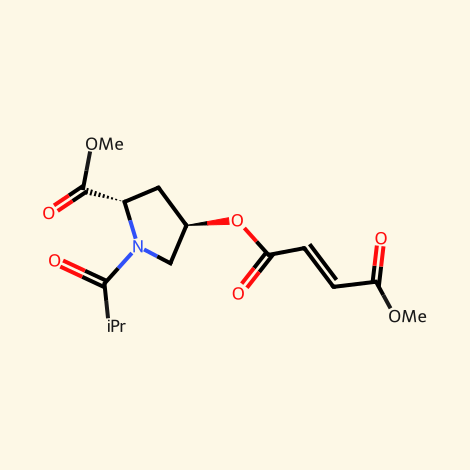 COC(=O)/C=C/C(=O)O[C@@H]1C[C@@H](C(=O)OC)N(C(=O)C(C)C)C1